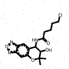 CC1(C)Oc2cc3nonc3cc2C(NC(=O)CCCCCl)C1O